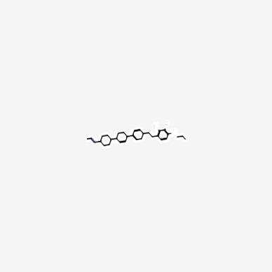 C/C=C/C1CCC(C2C=CC(C3=CCC(CCc4ccc(OCCC)c(F)c4F)C=C3)CC2)CC1